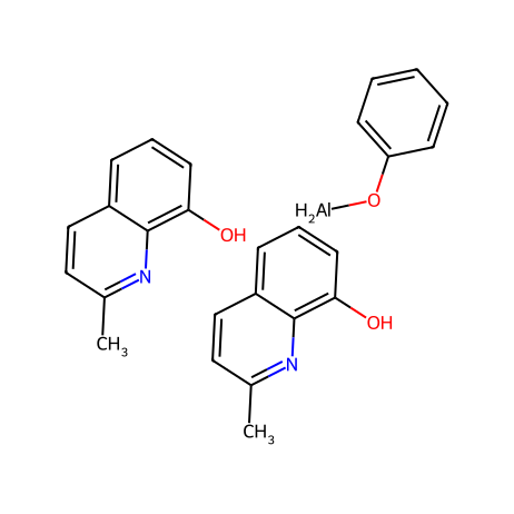 Cc1ccc2cccc(O)c2n1.Cc1ccc2cccc(O)c2n1.[AlH2][O]c1ccccc1